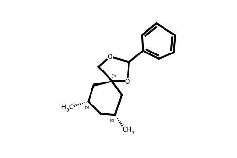 C[C@@H]1C[C@H](C)C[C@]2(COC(c3ccccc3)O2)C1